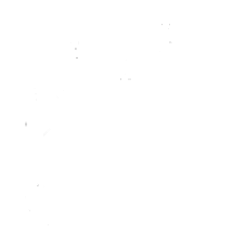 C=CC(=O)OCc1ccc2ccc(C(=O)OCC(O)COC(=O)C(C)C)cc2c1